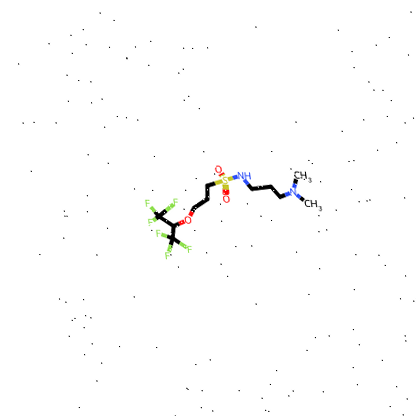 CN(C)CCCNS(=O)(=O)CCCOC(C(F)(F)F)C(F)(F)F